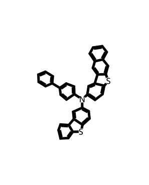 c1ccc(-c2ccc(N(c3ccc4sc5ccccc5c4c3)c3ccc4sc5cc6ccccc6cc5c4c3)cc2)cc1